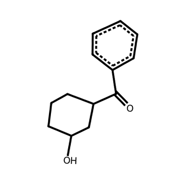 O=C(c1ccccc1)C1CCCC(O)C1